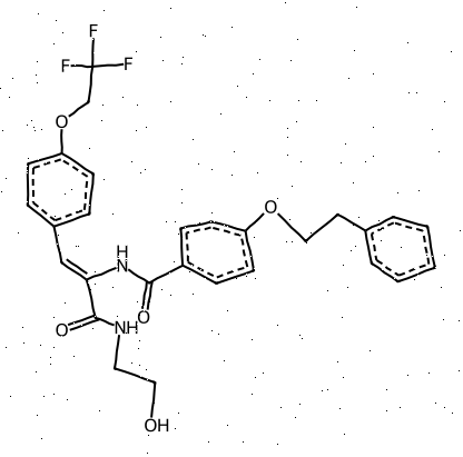 O=C(NCCO)/C(=C/c1ccc(OCC(F)(F)F)cc1)NC(=O)c1ccc(OCCc2ccccc2)cc1